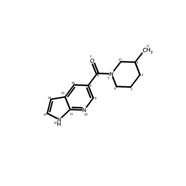 CC1CCCN(C(=O)c2cnc3[nH]ccc3c2)C1